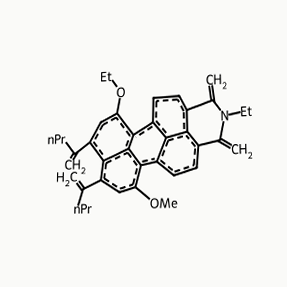 C=C(CCC)c1cc(OC)c2c3ccc4c5c(ccc(c6c(OCC)cc(C(=C)CCC)c1c26)c53)C(=C)N(CC)C4=C